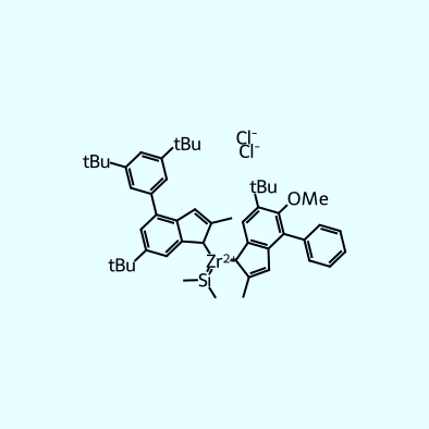 COc1c(C(C)(C)C)cc2c(c1-c1ccccc1)C=C(C)[CH]2[Zr+2]([CH]1C(C)=Cc2c(-c3cc(C(C)(C)C)cc(C(C)(C)C)c3)cc(C(C)(C)C)cc21)=[Si](C)C.[Cl-].[Cl-]